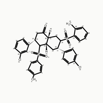 Cc1ccc(S(=O)(=O)C2[C@H]3C[C@@H](c4ccc(Cl)cc4)C(S(=O)(=O)c4ccccc4C)C[C@H]3C(=O)C[C@H]2c2cccc(Cl)c2)cc1